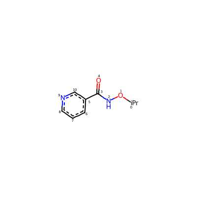 CC(C)ONC(=O)c1cccnc1